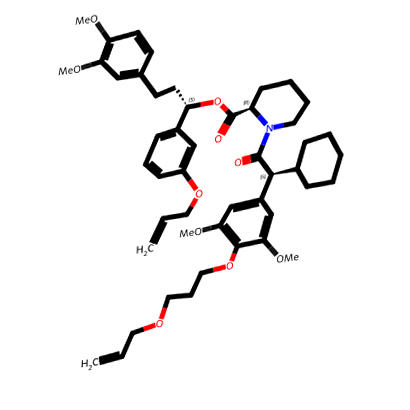 C=CCOCCCOc1c(OC)cc([C@@H](C(=O)N2CCCC[C@@H]2C(=O)O[C@@H](CCc2ccc(OC)c(OC)c2)c2cccc(OCC=C)c2)C2CCCCC2)cc1OC